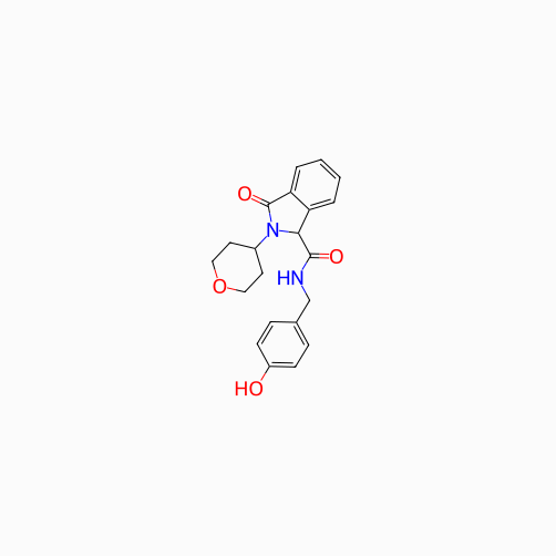 O=C(NCc1ccc(O)cc1)C1c2ccccc2C(=O)N1C1CCOCC1